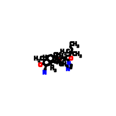 CCCC(C)(C)CC[C@@](C)(CCC(C)(C)[C@]1(C)CC[C@H]2[C@H](C)C(=O)C(C#N)=C[C@]2(C)/C1=C/C(C)=O)C(=O)n1ccnc1